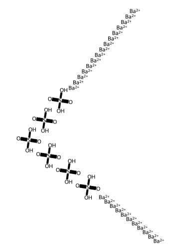 O=S(=O)(O)O.O=S(=O)(O)O.O=S(=O)(O)O.O=S(=O)(O)O.O=S(=O)(O)O.O=S(=O)(O)O.[Ba+2].[Ba+2].[Ba+2].[Ba+2].[Ba+2].[Ba+2].[Ba+2].[Ba+2].[Ba+2].[Ba+2].[Ba+2].[Ba+2].[Ba+2].[Ba+2].[Ba+2].[Ba+2].[Ba+2].[Ba+2].[Ba+2].[Ba+2].[Ba+2].[Ba+2].[Ba+2].[Ba+2].[Ba+2].[Ba+2]